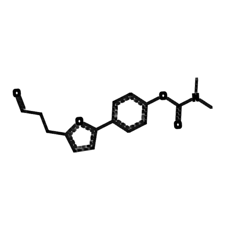 CN(C)C(=O)Oc1ccc(-c2ccc(CCC=O)o2)cc1